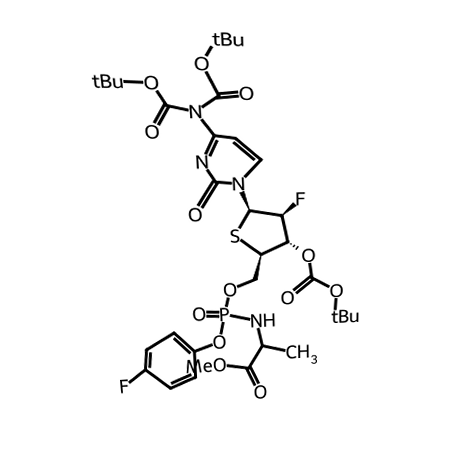 COC(=O)C(C)NP(=O)(OC[C@H]1S[C@@H](n2ccc(N(C(=O)OC(C)(C)C)C(=O)OC(C)(C)C)nc2=O)[C@@H](F)[C@@H]1OC(=O)OC(C)(C)C)Oc1ccc(F)cc1